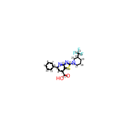 O=C(O)c1cc(-c2ccccc2)nc2nc(N3CCCC(C(F)(F)F)C3)sc12